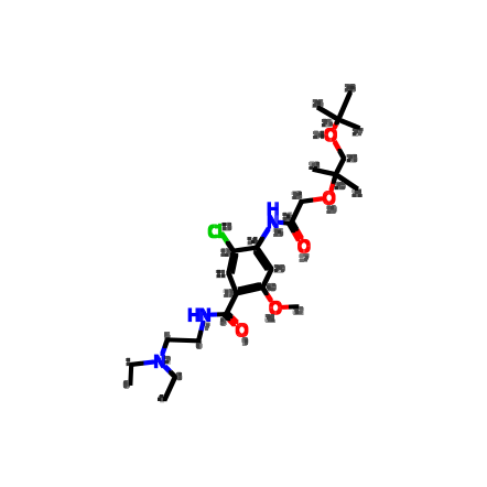 CCN(CC)CCNC(=O)c1cc(Cl)c(NC(=O)COC(C)(C)COC(C)(C)C)cc1OC